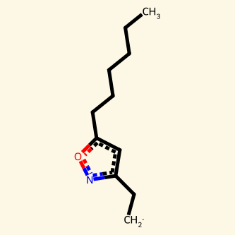 [CH2]Cc1cc(CCCCCC)on1